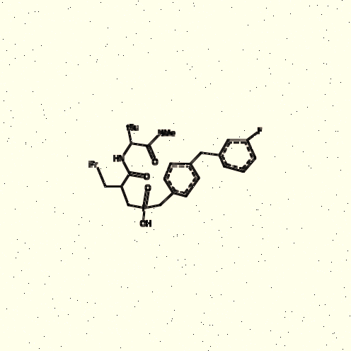 CNC(=O)C(NC(=O)C(CC(C)C)CP(=O)(O)Cc1ccc(Cc2cccc(F)c2)cc1)C(C)(C)C